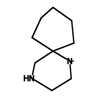 C1CCC2(CC1)CNCC[N]2